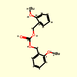 CC(C)(C)Oc1ccccc1COC(=O)OCc1ccccc1OC(C)(C)C